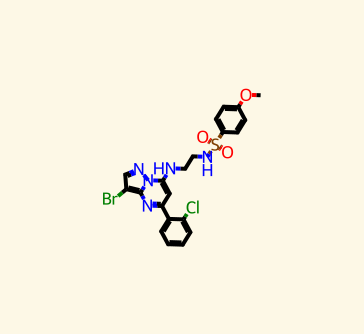 COc1ccc(S(=O)(=O)NCCNc2cc(-c3ccccc3Cl)nc3c(Br)cnn23)cc1